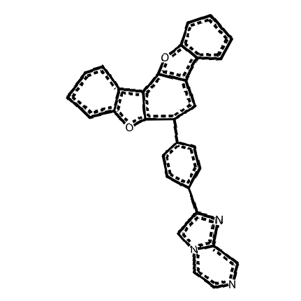 c1ccc2c(c1)oc1c2cc(-c2ccc(-c3cn4ccncc4n3)cc2)c2oc3ccccc3c21